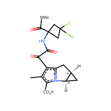 CNC(=O)C1(NC(=O)C(=O)c2c(C)c(C(=O)O)n3c2C[C@H]2C[C@H]23)CC(F)(F)C1